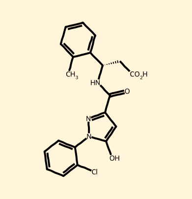 Cc1ccccc1[C@H](CC(=O)O)NC(=O)c1cc(O)n(-c2ccccc2Cl)n1